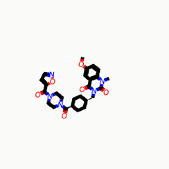 COc1ccc2c(c1)c(=O)n(C[C@H]1CC[C@H](C(=O)N3CCN(C(=O)c4ccno4)CC3)CC1)c(=O)n2C